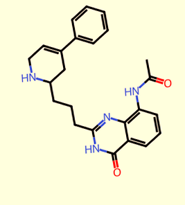 CC(=O)Nc1cccc2c(=O)[nH]c(CCCC3CC(c4ccccc4)=CCN3)nc12